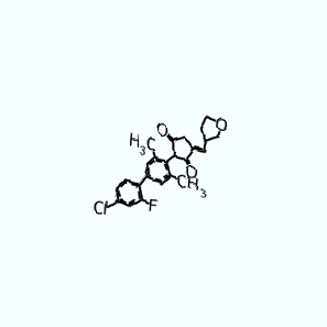 Cc1cc(-c2ccc(Cl)cc2F)cc(C)c1C1C(=O)C/C(=C\C2CCOC2)C1=O